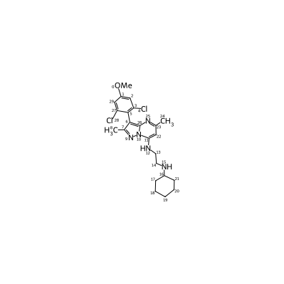 COc1cc(Cl)c(-c2c(C)nn3c(NCCNC4CCCCC4)cc(C)nc23)c(Cl)c1